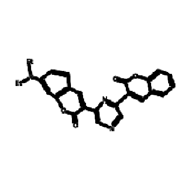 CCN(CC)c1ccc2cc(-c3cncc(-c4cc5ccccc5oc4=O)n3)c(=O)oc2c1